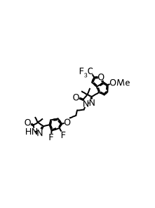 COc1ccc(C2=NN(CCCCOc3ccc(C4=NNC(=O)C4(C)C)c(F)c3F)C(=O)C2(C)C)c2cc(C(F)(F)F)oc12